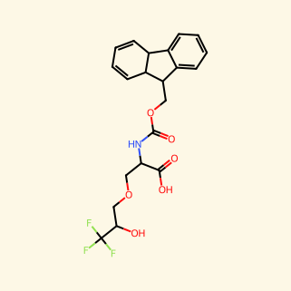 O=C(NC(COCC(O)C(F)(F)F)C(=O)O)OCC1c2ccccc2C2C=CC=CC21